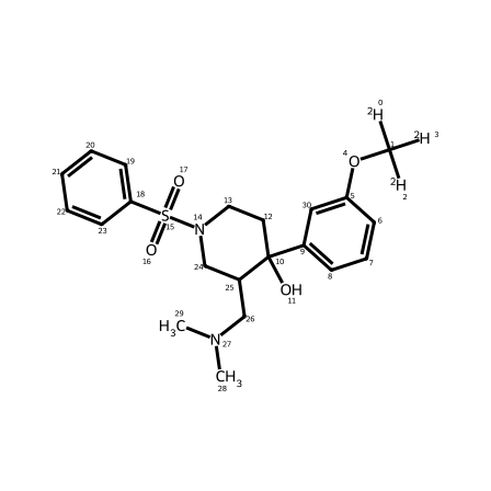 [2H]C([2H])([2H])Oc1cccc(C2(O)CCN(S(=O)(=O)c3ccccc3)CC2CN(C)C)c1